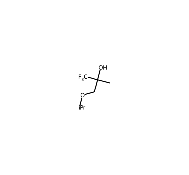 CC(C)OCC(C)(O)C(F)(F)F